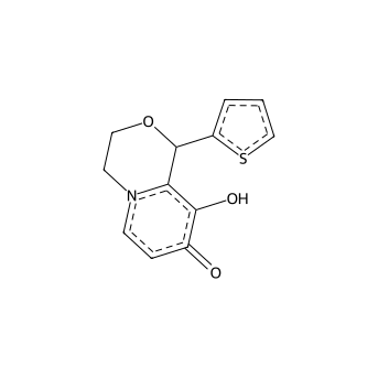 O=c1ccn2c(c1O)C(c1cccs1)OCC2